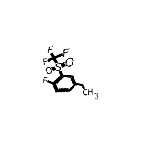 CCc1ccc(F)c(S(=O)(=O)C(F)(F)F)c1